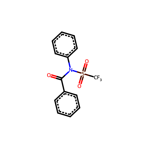 O=C(c1ccccc1)N(c1ccccc1)S(=O)(=O)C(F)(F)F